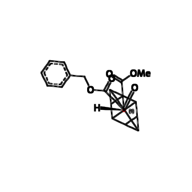 COC(=O)C1C2C3C4C(=O)C5C2C5C(C43)[C@@H]1C(=O)OCc1ccccc1